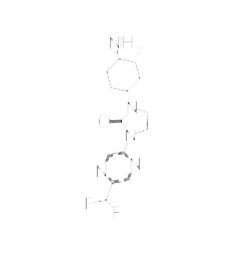 N[C@H]1CC[C@H](N2CCN(c3cnc(C(F)F)cn3)C2=O)CC1